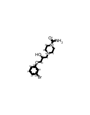 NC(=O)N1CCN(CC(O)COc2cccc(Br)c2)CC1